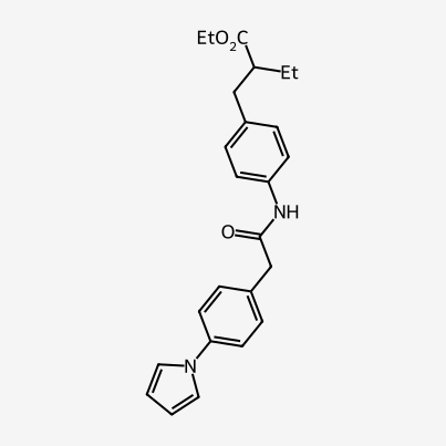 CCOC(=O)C(CC)Cc1ccc(NC(=O)Cc2ccc(-n3cccc3)cc2)cc1